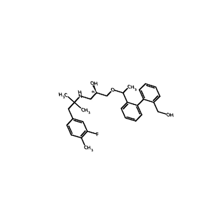 Cc1ccc(CC(C)(C)NC[C@@H](O)COC(C)c2ccccc2-c2ccccc2CO)cc1F